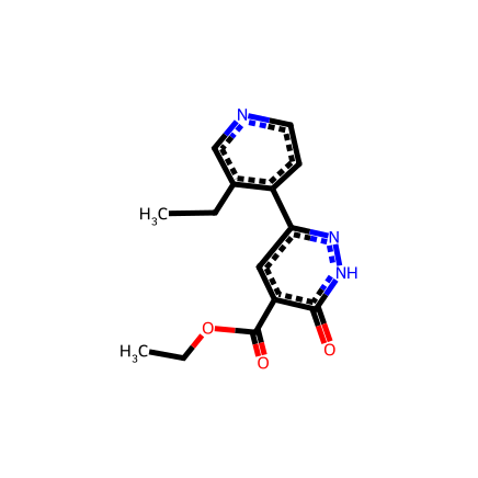 CCOC(=O)c1cc(-c2ccncc2CC)n[nH]c1=O